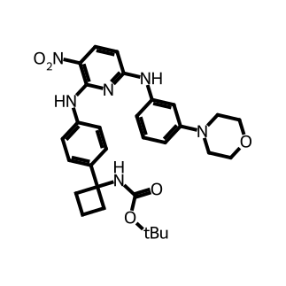 CC(C)(C)OC(=O)NC1(c2ccc(Nc3nc(Nc4cccc(N5CCOCC5)c4)ccc3[N+](=O)[O-])cc2)CCC1